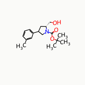 Cc1cccc(C2C[C@H](CO)N(C(=O)OC(C)(C)C)C2)c1